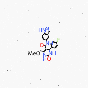 COCC1=C(C(=O)Nc2ccc3[nH]ncc3c2)C(c2ccc(F)cc2)NC(=O)N1